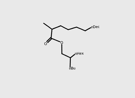 CCCCCCCCCCCCCCC(C)C(=O)OCC(CCCC)CCCCCC